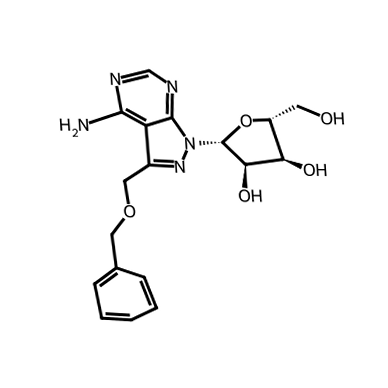 Nc1ncnc2c1c(COCc1ccccc1)nn2[C@@H]1O[C@H](CO)[C@@H](O)[C@H]1O